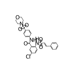 O=C(Nc1ccc(S(=O)(=O)N2CCOCC2)cc1)c1cc(Cl)ccc1NS(=O)(=O)/C=C/c1ccccc1